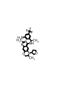 Cc1nc(N[C@H](C)c2cc(N)cc(C(F)(F)F)c2)c2cc3c(cc2n1)OCC(C)N3C1CCOC1